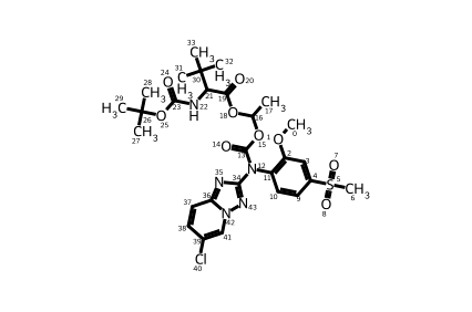 COc1cc(S(C)(=O)=O)ccc1N(C(=O)OC(C)OC(=O)C(NC(=O)OC(C)(C)C)C(C)(C)C)c1nc2ccc(Cl)cn2n1